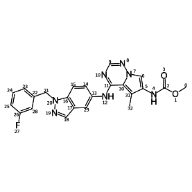 COC(=O)Nc1cn2ncnc(Nc3ccc4c(cnn4Cc4cccc(F)c4)c3)c2c1C